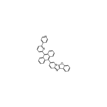 c1cc(-c2ccncc2)nc(-c2c3ccccc3c(-c3ccc4nc5c6ccccc6oc5n4c3)c3ccccc23)c1